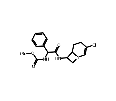 CC(C)(C)OC(=O)NC(C(=O)NC1CN2C=C(Cl)CCC12)c1ccccc1